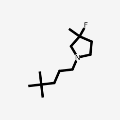 CC(C)(C)CCCN1CCC(C)(F)C1